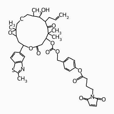 C=CCC1C(=O)C(C)(C)C(OC(=O)OCc2ccc(OC(=O)CCCN3C(=O)C=CC3=O)cc2)CC(=O)OC(c2ccc3sc(C)nc3c2)CC2OC2(C)CCCC(C)C1O